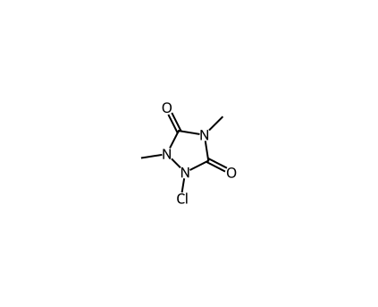 Cn1c(=O)n(C)n(Cl)c1=O